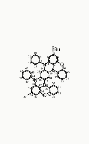 CCCCc1cc2c3c(c1)N(c1ccccc1)c1cc4c(cc1B3c1ccccc1O2)B1c2ccccc2Oc2cc(I)cc(c21)N4c1ccccc1